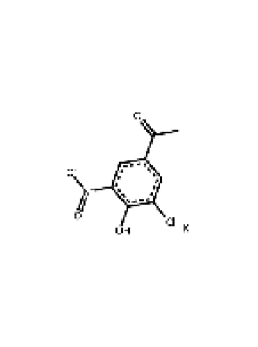 CC(=O)c1cc(Cl)c(O)c([N+](=O)[O-])c1.[K]